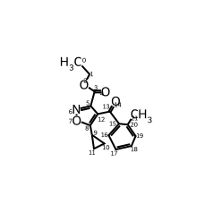 CCOC(=O)c1noc(C2CC2)c1C(=O)c1ccccc1C